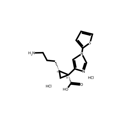 Cl.Cl.NCCC[C@H]1C[C@]1(C(=O)O)c1cn(-c2cccs2)cn1